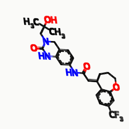 CC(C)(O)CN1Cc2ccc(NC(=O)/C=C3\CCCOc4cc(C(F)(F)F)ccc43)cc2NC1=O